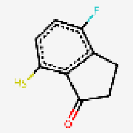 O=C1CCc2c(F)ccc(S)c21